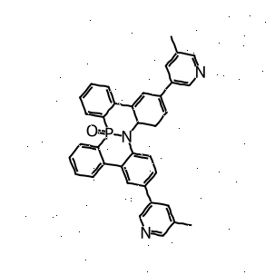 Cc1cncc(C2=CCC3C(=C2)c2ccccc2P2(=O)c4ccccc4-c4cc(-c5cncc(C)c5)ccc4N32)c1